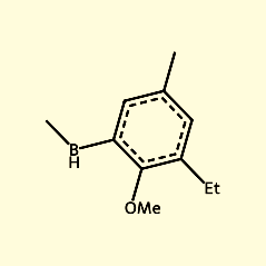 CBc1cc(C)cc(CC)c1OC